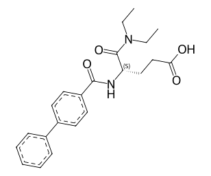 CCN(CC)C(=O)[C@H](CCC(=O)O)NC(=O)c1ccc(-c2ccccc2)cc1